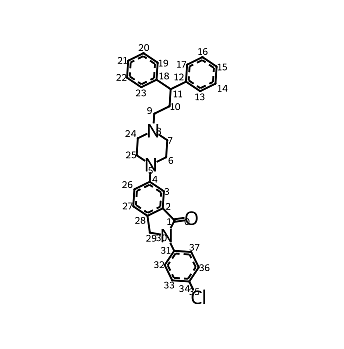 O=C1c2cc(N3CCN(CCC(c4ccccc4)c4ccccc4)CC3)ccc2CN1c1ccc(Cl)cc1